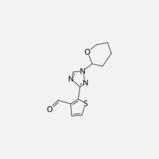 O=Cc1ccsc1-c1ncn(C2CCCCO2)n1